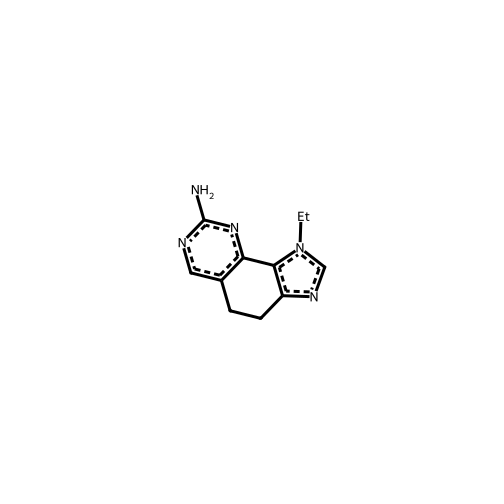 CCn1cnc2c1-c1nc(N)ncc1CC2